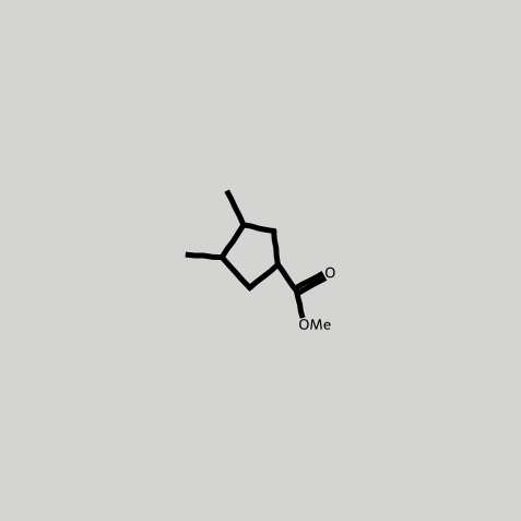 COC(=O)C1CC(C)C(C)C1